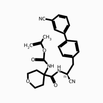 C=C(C)OC(=O)NC1(C(=O)N[C@H](C#N)Cc2ccc(-c3cccc(C#N)c3)cc2)CCOCC1